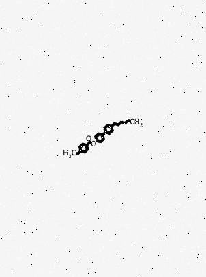 CCCCCCc1ccc(-c2ccc(OC(=O)c3ccc(CC)cc3)cc2)cc1